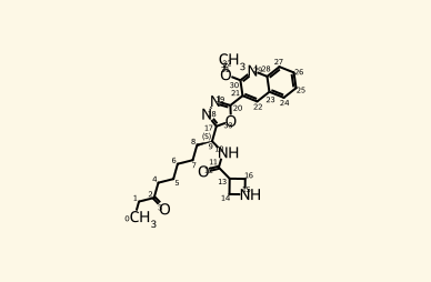 CCC(=O)CCCCC[C@H](NC(=O)C1CNC1)c1nnc(-c2cc3ccccc3nc2OC)o1